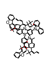 C=C/C=C\C(=C(\N1c2cc(-c3ccc4oc5ccccc5c4c3)ccc2B2c3ccc(-c4ccc5oc6ccccc6c5c4)cc3N(/C(C)=C(/C=C\C(C)/C(=C\C=C)C(C)(C)C)c3ccc(C(C)(C)C)cc3)c3cc(-n4c5ccccc5c5ccccc54)cc1c32)C(C)(/C=C\CC)C(C)(C)C)c1ccc(C(C)(C)C)cc1